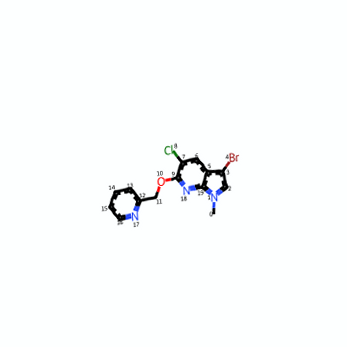 Cn1cc(Br)c2cc(Cl)c(OCc3ccccn3)nc21